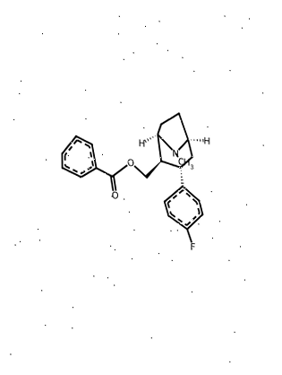 CN1[C@H]2CC[C@@H]1[C@H](COC(=O)c1ccccc1)[C@@H](c1ccc(F)cc1)C2